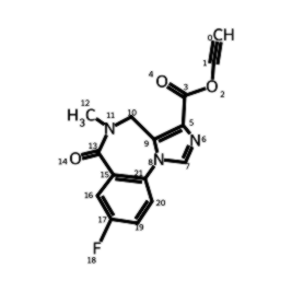 C#COC(=O)c1ncn2c1CN(C)C(=O)c1cc(F)ccc1-2